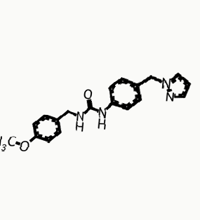 COc1ccc(CNC(=O)Nc2ccc(Cn3cccn3)cc2)cc1